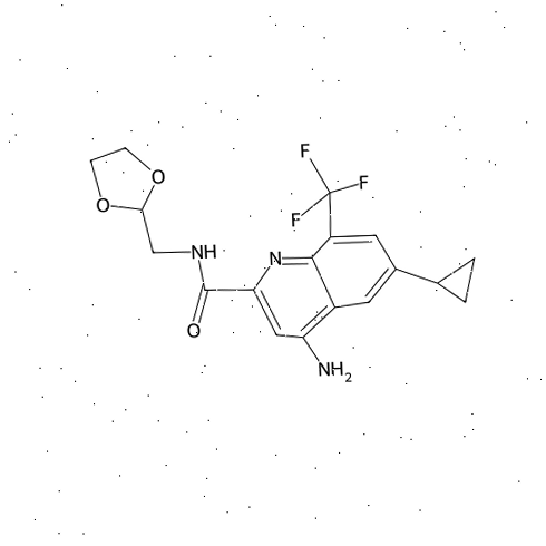 Nc1cc(C(=O)NCC2OCCO2)nc2c(C(F)(F)F)cc(C3CC3)cc12